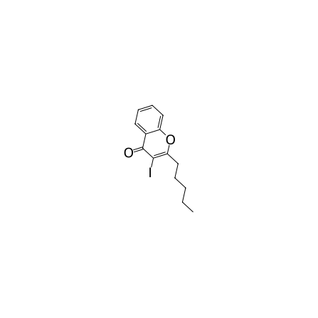 CCCCCc1oc2ccccc2c(=O)c1I